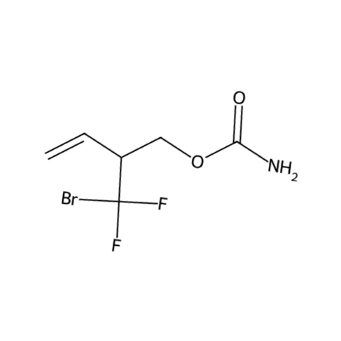 C=CC(COC(N)=O)C(F)(F)Br